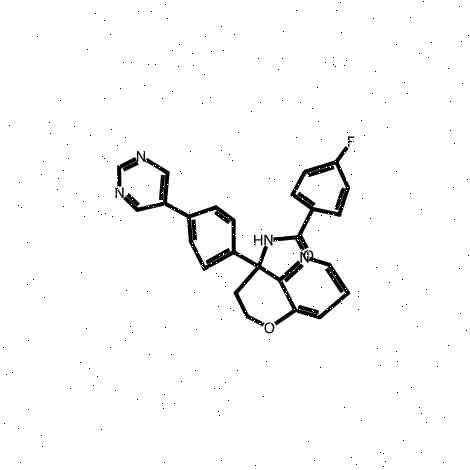 O=C(NC1(c2ccc(-c3cncnc3)cc2)CCOc2cccnc21)c1ccc(F)cc1